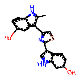 Cc1[nH]c2ccc(O)cc2c1-c1csc(-c2c[nH]c3cc(O)ccc23)n1